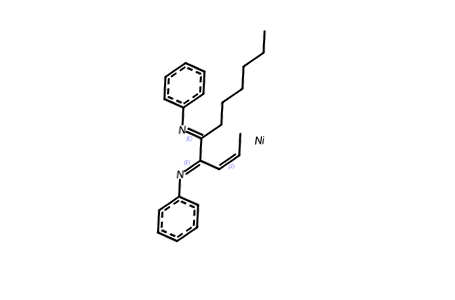 C\C=C/C(=N\c1ccccc1)C(/CCCCCC)=N/c1ccccc1.[Ni]